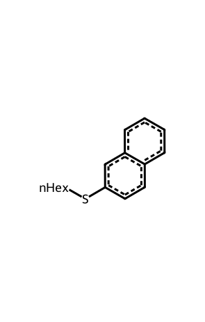 CCCCCCSc1ccc2ccccc2c1